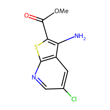 COC(=O)c1sc2ncc(Cl)cc2c1N